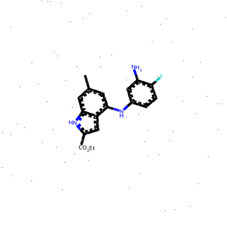 CCOC(=O)c1cc2c(Nc3ccc(F)c(N)c3)cc(C)cc2[nH]1